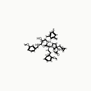 COc1cccc(CNC[C@@H](O)[C@H](Cc2cc(F)cc(F)c2)NC(=O)[C@H](CCc2ccccc2OC)N2CC[C@](CC3CC3)(NC(C)=O)C2=O)c1